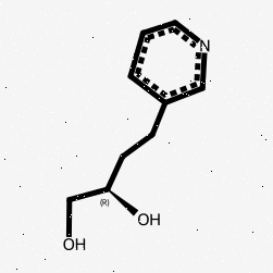 OC[C@H](O)CCc1cccnc1